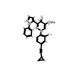 COc1cn(-c2ccc(C#CC3CC3)cc2F)nc(-c2ccnn2-c2ccccc2)c1=O